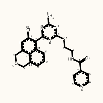 Nc1nc(SCCNC(=O)c2ccncc2)nc(-c2c(Cl)cc3c4c(cccc24)COC3)n1